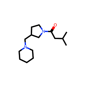 CC(C)CC(=O)N1CCC(CN2CCCCC2)C1